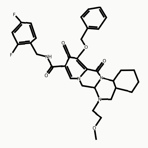 COCCN1CC2CCCCC2N2C(=O)c3c(OCc4ccccc4)c(=O)c(C(=O)NCc4ccc(F)cc4F)cn3CC12